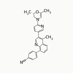 CC1=CN(c2ccc(-c3cnc4c(-c5ccc(C#N)cc5)cccc4c3C)cn2)C[C@H](C)O1